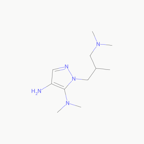 CC(CN(C)C)Cn1ncc(N)c1N(C)C